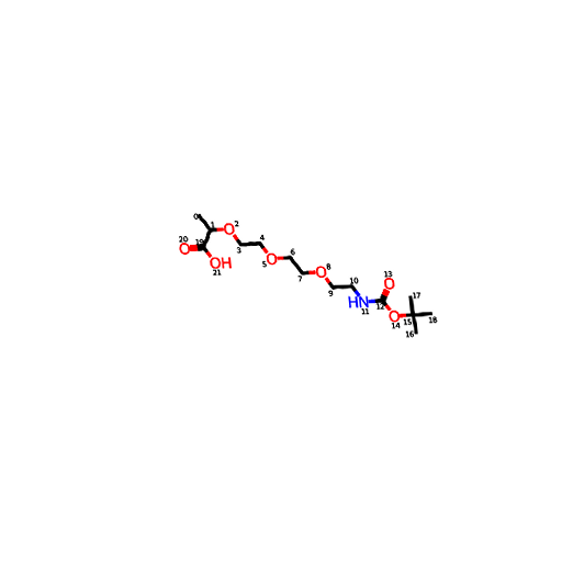 CC(OCCOCCOCCNC(=O)OC(C)(C)C)C(=O)O